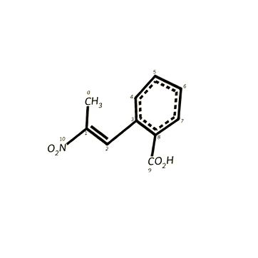 CC(=Cc1ccccc1C(=O)O)[N+](=O)[O-]